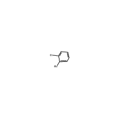 C[CH]c1ccccc1C(C)CC